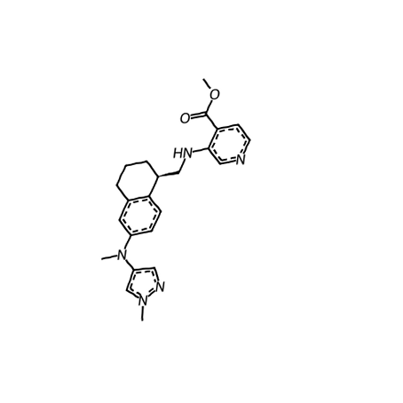 COC(=O)c1ccncc1NC[C@@H]1CCCc2cc(N(C)c3cnn(C)c3)ccc21